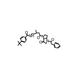 CC(CCNC(=O)c1ccc(C(C)(C)C)cc1)CC(=O)N1CCC2C1C(=O)CN2C(=O)Cc1ccccc1